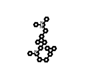 c1ccc(-c2cc(-c3cccc(-c4cccc(-c5ccc6c7ccccc7c7ccccc7c6c5)c4)c3)cc(-c3ccc(-c4cccc5c6cc(-c7cccc(-c8cc(-c9ccccc9)nc(-c9ccccc9)n8)c7)ccc6c6ccccc6c45)cc3)n2)cc1